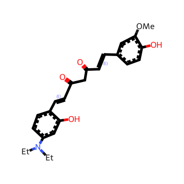 CCN(CC)c1ccc(/C=C/C(=O)CC(=O)/C=C/c2ccc(O)c(OC)c2)c(O)c1